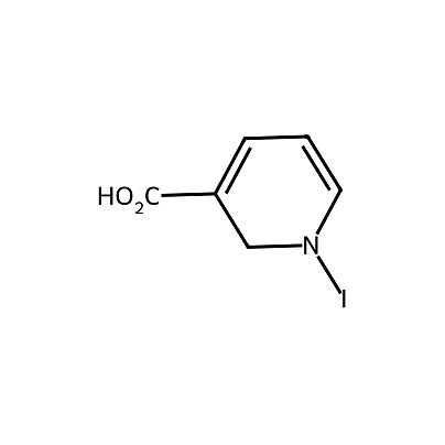 O=C(O)C1=CC=CN(I)C1